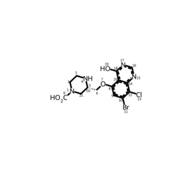 O=C(O)N1CCN[C@H](COc2cc(Br)c(Cl)c3ncnc(O)c23)C1